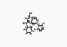 Cc1noc(C)c1-c1cnc2c(I)cn([C@@H](C)c3ccccn3)c2n1